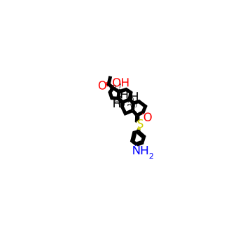 CC(=O)[C@@]1(O)CC[C@H]2[C@@H]3CCC4C(=CSc5ccc(N)cc5)C(=O)CC[C@]4(C)[C@H]3CC[C@@]21C